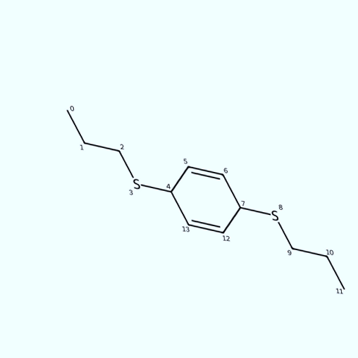 CCCSC1C=CC(SCCC)C=C1